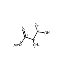 CCC(O)C(C)C(=O)OC